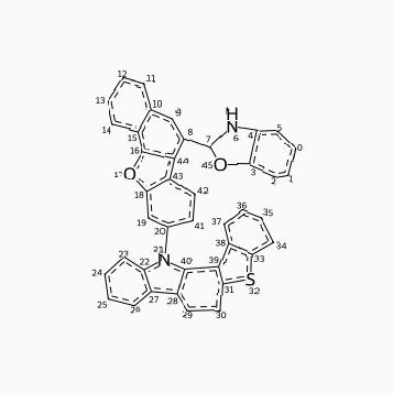 c1ccc2c(c1)NC(c1cc3ccccc3c3oc4cc(-n5c6ccccc6c6ccc7sc8ccccc8c7c65)ccc4c13)O2